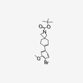 COc1cc(C2=CCC3(CC2)CN(C(=O)OC(C)(C)C)C3)ccc1Br